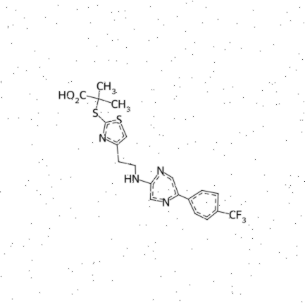 CC(C)(Sc1nc(CCNc2cnc(-c3ccc(C(F)(F)F)cc3)cn2)cs1)C(=O)O